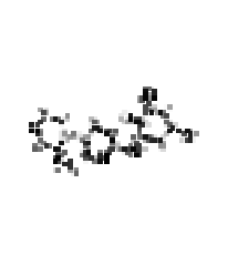 CCn1cc(Br)cc(Nc2ccc(N3CCOC[C@@H]3C)nn2)c1=O